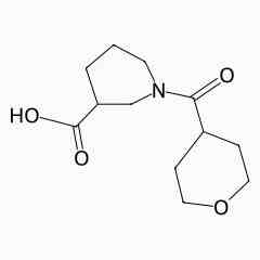 O=C(O)C1CCCN(C(=O)C2CCOCC2)C1